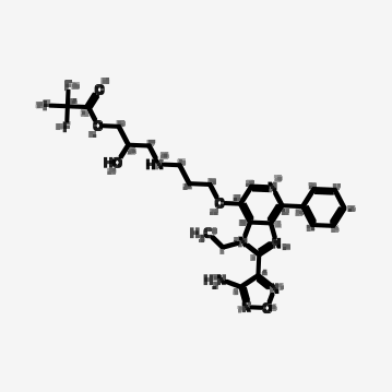 CCn1c(-c2nonc2N)nc2c(-c3ccccc3)ncc(OCCCNCC(O)COC(=O)C(F)(F)F)c21